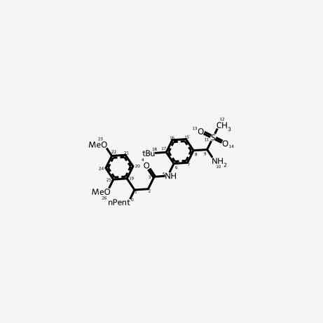 CCCCCC(CC(=O)Nc1cc(C(N)S(C)(=O)=O)ccc1C(C)(C)C)c1ccc(OC)cc1OC